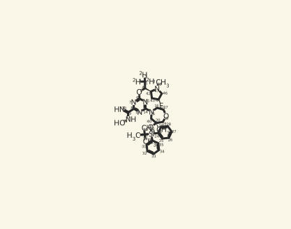 [2H]C([2H])([2H])C(Oc1nc(C(=N)NO)nc(N2CCOC[C@@](C)(O[Si](c3ccccc3)(c3ccccc3)C(C)(C)C)C2)n1)[C@@H]1C[C@@H](F)CN1C